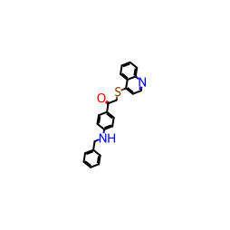 O=C(CSc1ccnc2ccccc12)c1ccc(NCc2ccccc2)cc1